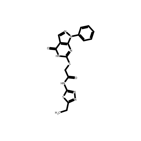 CCc1nnc(NC(=O)CSc2nc3c(cnn3-c3ccccc3)c(=O)[nH]2)s1